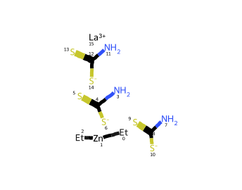 C[CH2][Zn][CH2]C.NC(=S)[S-].NC(=S)[S-].NC(=S)[S-].[La+3]